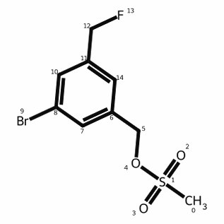 CS(=O)(=O)OCc1cc(Br)cc(CF)c1